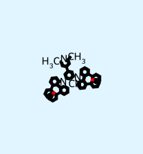 Cc1cc(-c2cc(-n3c4cccc(-c5ccccc5)c4c4c(-c5ccccc5)cccc43)c(C#N)c(-n3c4cccc(-c5ccccc5)c4c4c(-c5ccccc5)cccc43)c2)cc(C)n1